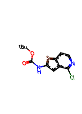 CC(C)(C)OC(=O)Nc1cc2c(Cl)nccc2s1